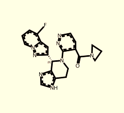 O=C(c1ccnnc1N1CCc2[nH]cnc2[C@@H]1c1cc2c(F)cccn2n1)N1CCC1